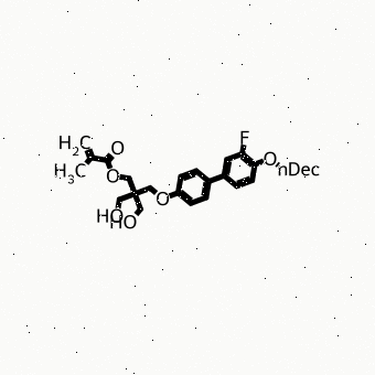 C=C(C)C(=O)OCC(CO)(CO)COc1ccc(-c2ccc(OCCCCCCCCCC)c(F)c2)cc1